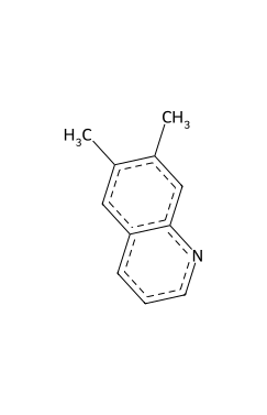 Cc1cc2cccnc2cc1C